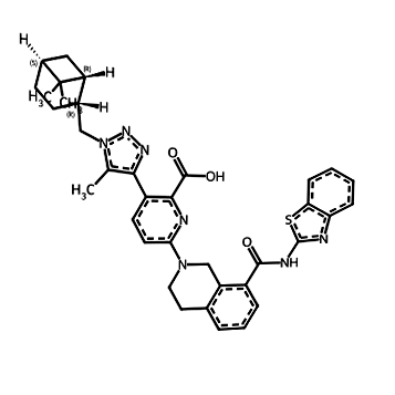 Cc1c(-c2ccc(N3CCc4cccc(C(=O)Nc5nc6ccccc6s5)c4C3)nc2C(=O)O)nnn1C[C@@H]1CC[C@H]2C[C@H]1C2(C)C